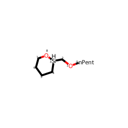 CCCCCOC[SiH]1CCCCO1